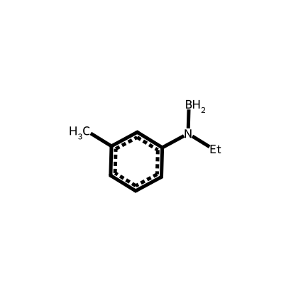 BN(CC)c1cccc(C)c1